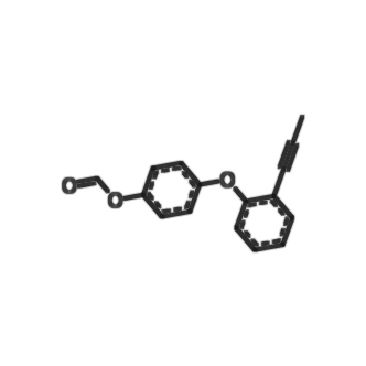 CC#Cc1ccccc1Oc1ccc(OC=O)cc1